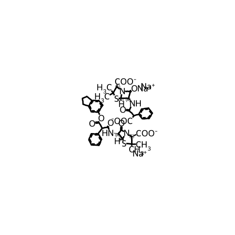 CC1(C)S[C@@H]2[C@H](NC(=O)C(C(=O)Oc3ccc4c(c3)CCC4)c3ccccc3)C(=O)N2[C@H]1C(=O)[O-].CC1(C)S[C@@H]2[C@H](NC(=O)C(C(=O)[O-])c3ccccc3)C(=O)N2[C@H]1C(=O)[O-].[Na+].[Na+].[Na+]